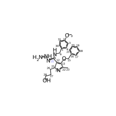 COc1ccc(CN/C(=N\NN)C2=C(OCc3ccccc3)C(C)=NC2CCCO)cc1